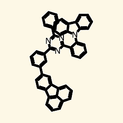 c1ccc(-c2nc(-c3cccc(-c4ccc5c(c4)-c4cccc6cccc-5c46)c3)nc(-c3ccccc3-n3c4ccccc4c4ccccc43)n2)cc1